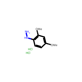 COc1ccc(NN)c(OC)c1.Cl.Cl